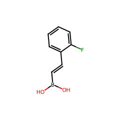 OB(O)C=Cc1ccccc1F